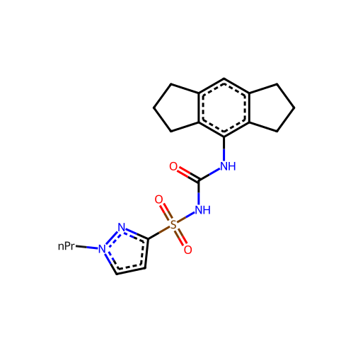 CCCn1ccc(S(=O)(=O)NC(=O)Nc2c3c(cc4c2CCC4)CCC3)n1